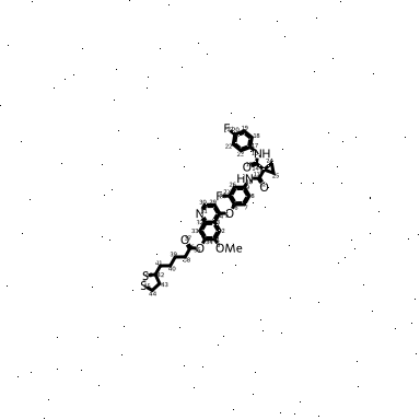 COc1cc2c(Oc3ccc(NC(=O)C4(C(=O)Nc5ccc(F)cc5)CC4)cc3F)ccnc2cc1OC(=O)CCCCC1CCSS1